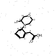 O=C(O)Cc1ccccc1N1CCOCC1F